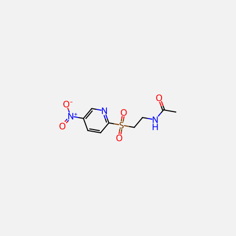 CC(=O)NCCS(=O)(=O)c1ccc([N+](=O)[O-])cn1